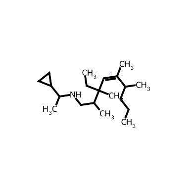 CCCC(C)/C(C)=C\C(C)(CC)C(C)CNC(C)C1CC1